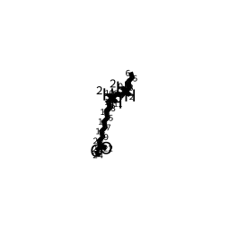 [2H]C([2H])(C=CCC)C=CC([2H])([2H])CC=CCCCCCCC(=O)OC